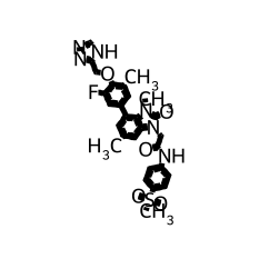 Cc1cc(-c2cc(C)c(OCc3nnc[nH]3)c(F)c2)c2c(c1)n(CC(=O)Nc1ccc(S(C)(=O)=O)cc1)c(=O)n2C